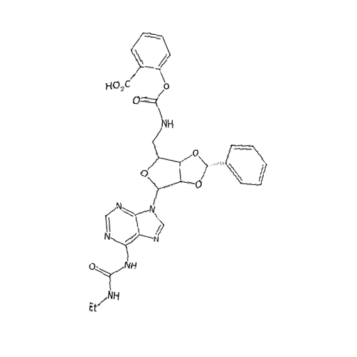 CCNC(=O)Nc1ncnc2c1ncn2C1OC(CNC(=O)Oc2ccccc2C(=O)O)C2O[C@H](c3ccccc3)OC21